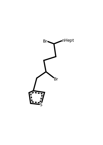 CCCCCCCC(Br)CCC(Br)Cc1ccsc1